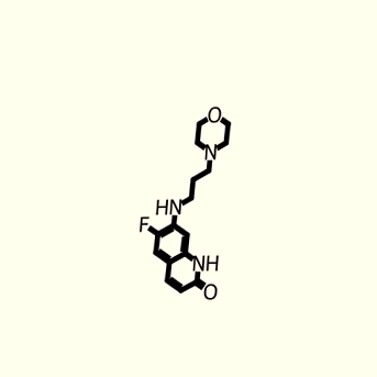 O=c1ccc2cc(F)c(NCCCN3CCOCC3)cc2[nH]1